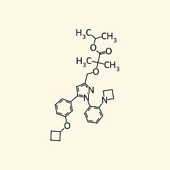 CC(C)OC(=O)C(C)(C)OCc1cc(-c2cccc(OC3CCC3)c2)n(-c2ccccc2N2CCC2)n1